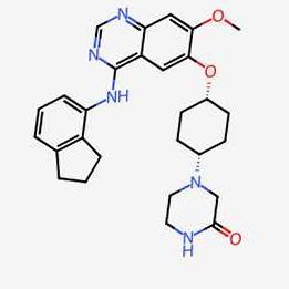 COc1cc2ncnc(Nc3cccc4c3CCC4)c2cc1O[C@H]1CC[C@@H](N2CCNC(=O)C2)CC1